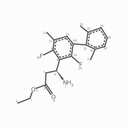 CCOC(=O)C[C@H](N)c1c(F)c(C)cc(-c2c(C)cccc2C)c1F